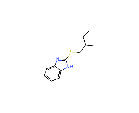 CCC(C)CSc1nc2ccccc2[nH]1